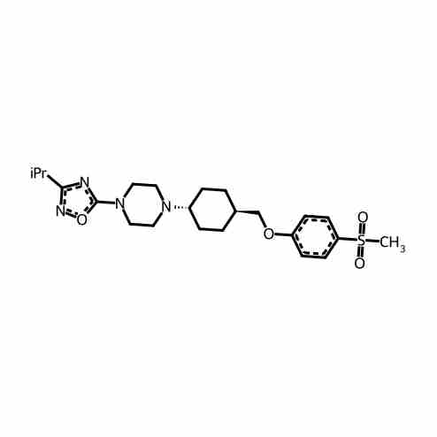 CC(C)c1noc(N2CCN([C@H]3CC[C@H](COc4ccc(S(C)(=O)=O)cc4)CC3)CC2)n1